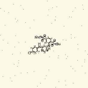 CNS(=O)(=O)c1ccc(S(=O)(=O)C(C)(C)C)c(Nc2cc(Nc3ccc(Cl)cc3)ncn2)c1